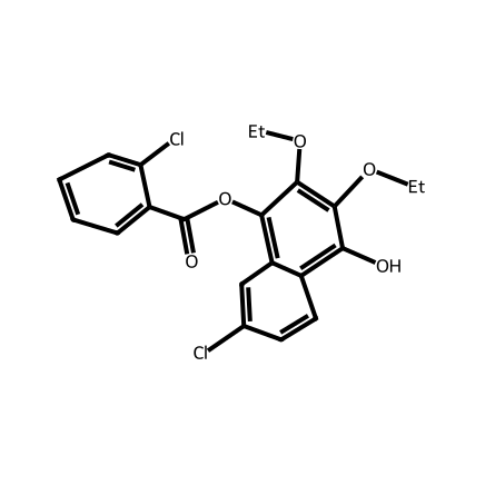 CCOc1c(OCC)c(OC(=O)c2ccccc2Cl)c2cc(Cl)ccc2c1O